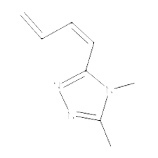 C=C/C=C\c1nnc(C)n1C